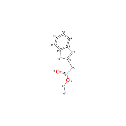 CCOC(=O)CC1=Cc2ccccc2C1